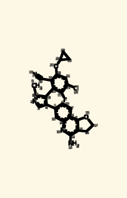 Cn1ncc(-c2ccc3c4c(c(N)nc3c2)CCO4)c1-c1c(F)c(Cl)cc(OC2CC2)c1C#N